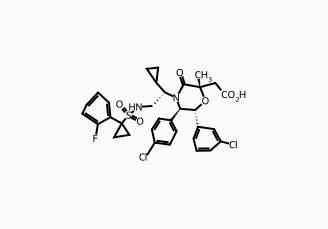 C[C@@]1(CC(=O)O)O[C@H](c2cccc(Cl)c2)[C@@H](c2ccc(Cl)cc2)N([C@H](CNS(=O)(=O)C2(c3ccccc3F)CC2)C2CC2)C1=O